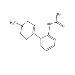 CC(C)(C)C(=O)Nc1ccccc1C1=CCN(P)CC1